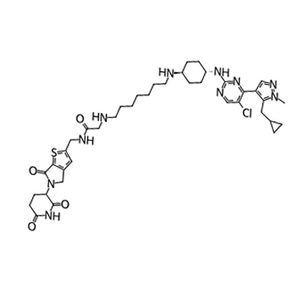 Cn1ncc(-c2nc(N[C@H]3CC[C@H](NCCCCCCCNCC(=O)NCc4cc5c(s4)C(=O)N(C4CCC(=O)NC4=O)C5)CC3)ncc2Cl)c1CC1CC1